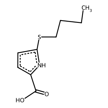 CCCCSc1ccc(C(=O)O)[nH]1